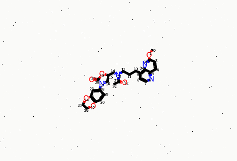 COc1ccc2nccc(CCCN(CC3CN(c4ccc5c(c4)OCCO5)C(=O)O3)C(C)=O)c2n1